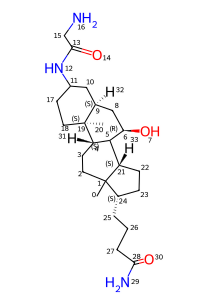 CC12CC[C@H]3C([C@H](O)C[C@@H]4CC(NC(=O)CN)CC[C@@]43C)[C@@H]1CC[C@@H]2CCCC(N)=O